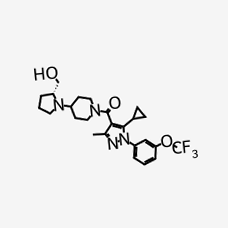 Cc1nn(-c2cccc(OC(F)(F)F)c2)c(C2CC2)c1C(=O)N1CCC(N2CCC[C@@H]2CO)CC1